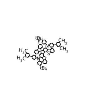 Cc1cc(C)cc(-c2ccc(N(c3ccc(C(C)(C)C)cc3)c3cc4c(c5c3-c3ccccc3C5)-c3c(cc(N(c5ccc(-c6cc(C)cc(C)c6)cc5)c5ccc(C(C)(C)C)cc5)c5c3sc3ccccc35)C43c4ccccc4-c4cc(F)ccc43)cc2)c1